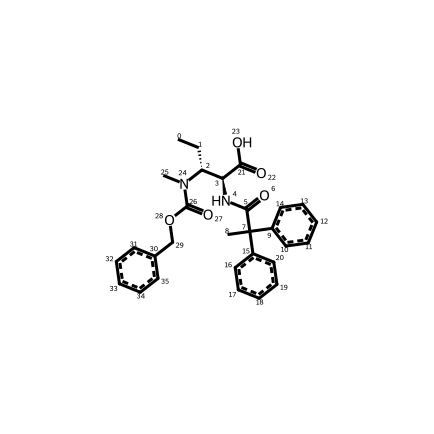 CC[C@H]([C@H](NC(=O)C(C)(c1ccccc1)c1ccccc1)C(=O)O)N(C)C(=O)OCc1ccccc1